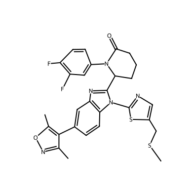 CSCc1cnc(-n2c(C3CCCC(=O)N3c3ccc(F)c(F)c3)nc3cc(-c4c(C)noc4C)ccc32)s1